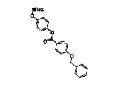 CCCCCCOc1ccc(OC(=O)c2ccc(OCc3ccccc3)cc2)cc1